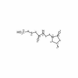 C[C@@H]1CC(=O)N(CCNC(=O)CSCC(=O)O)C1